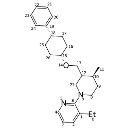 CCc1cccnc1N1CC[C@H](C)C(CO[C@H]2CC[C@@H](c3ccccc3)CC2)C1